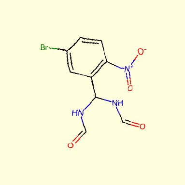 O=CNC(NC=O)c1cc(Br)ccc1[N+](=O)[O-]